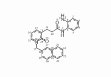 Nc1ccccc1NC(=O)CCc1cccn(Cc2ccc3ccccc3c2)c1=O